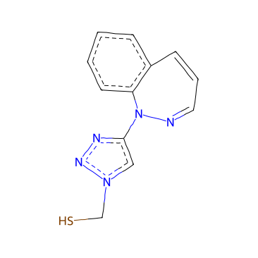 SCn1cc(N2N=CC=Cc3ccccc32)nn1